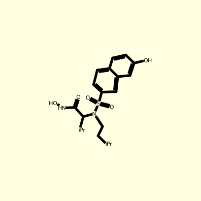 CC(C)CCN(C(C(=O)NO)C(C)C)S(=O)(=O)c1ccc2ccc(O)cc2c1